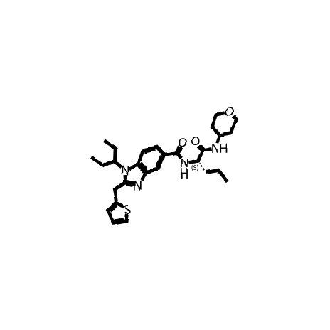 CCC[C@H](NC(=O)c1ccc2c(c1)nc(Cc1cccs1)n2C(CC)CC)C(=O)NC1CCOCC1